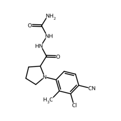 Cc1c(N2CCCC2C(=O)NNC(N)=O)ccc(C#N)c1Cl